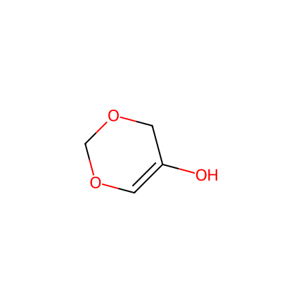 OC1=COCOC1